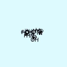 O=C(O)N[C@@H]1CN(Cc2csnn2)C[C@H]1c1ccc(F)c(F)c1